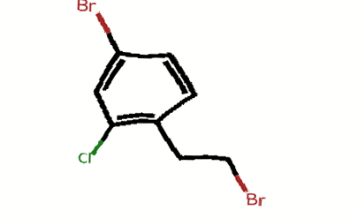 Clc1cc(Br)ccc1CCBr